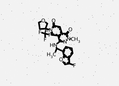 CC(Nc1nn(C)c(=O)c2cc(=O)n([C@]3(C(F)(F)F)CCOC3)cc12)c1cccc2c(F)coc12